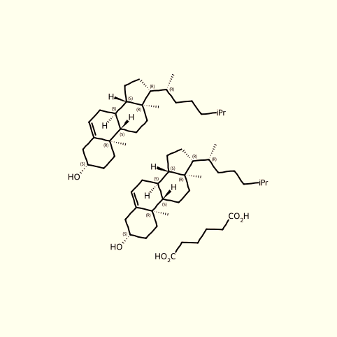 CC(C)CCC[C@@H](C)[C@H]1CC[C@H]2[C@@H]3CC=C4C[C@@H](O)CC[C@]4(C)[C@H]3CC[C@]12C.CC(C)CCC[C@@H](C)[C@H]1CC[C@H]2[C@@H]3CC=C4C[C@@H](O)CC[C@]4(C)[C@H]3CC[C@]12C.O=C(O)CCCCC(=O)O